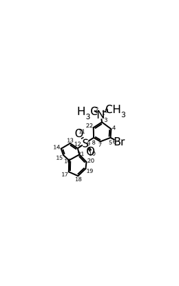 CN(C)c1cc(Br)cc(S(=O)(=O)c2cccc3ccccc23)c1